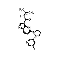 C[C@H](NC(=O)c1cnn2ccc(N3CCC[C@@H]3c3cncc(F)c3)nc12)C(F)(F)F